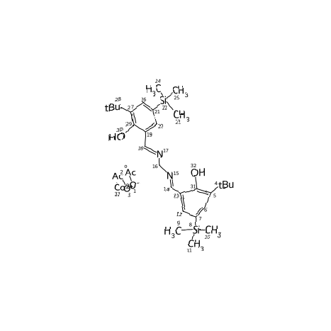 CC(=O)[O-].CC(=O)[O-].CC(C)(C)c1cc([Si](C)(C)C)cc(C=NCN=Cc2cc([Si](C)(C)C)cc(C(C)(C)C)c2O)c1O.[Co+2]